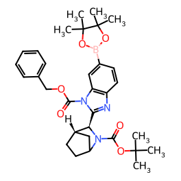 CC(C)(C)OC(=O)N1C2CC[C@@H](C2)[C@H]1c1nc2ccc(B3OC(C)(C)C(C)(C)O3)cc2n1C(=O)OCc1ccccc1